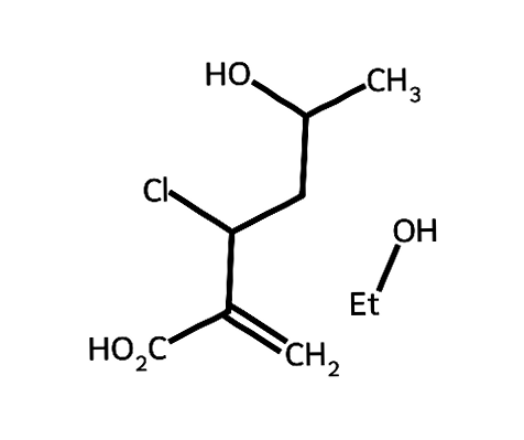 C=C(C(=O)O)C(Cl)CC(C)O.CCO